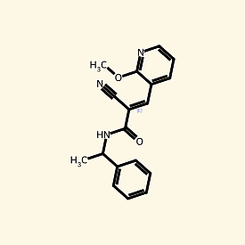 COc1ncccc1/C=C(\C#N)C(=O)NC(C)c1ccccc1